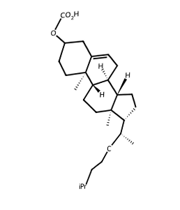 CC(C)CCC[C@@H](C)[C@H]1CC[C@H]2[C@@H]3CC=C4CC(OC(=O)O)CC[C@]4(C)[C@H]3CC[C@]12C